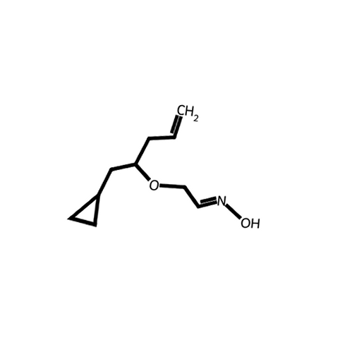 C=CCC(CC1CC1)OC/C=N/O